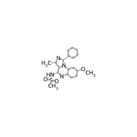 COc1ccc2nc(NS(C)(=O)=O)c3c(C)nc(-c4ccccc4)n3c2c1